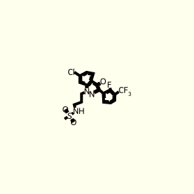 CS(=O)(=O)NCCCn1nc(-c2cccc(C(F)(F)F)c2F)c(=O)c2ccc(Cl)cc21